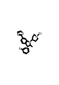 CCN1CCC(N2c3cc(-c4nccs4)ccc3CC2C)CC1.Fc1ccccc1